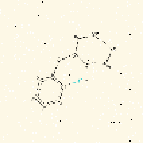 Fc1ccccc1[CH]C1CCCCC1